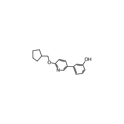 Oc1cccc(-c2ccc(OCC3CCCC3)nc2)c1